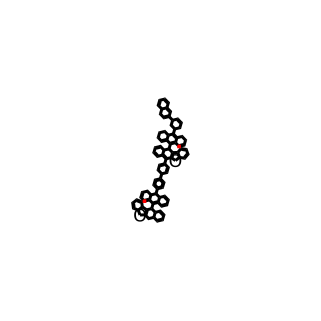 C1=CCC2C(=C1)C(C1C3=C(CC4C=CC=CC41)OC1C=CC=CC31)=C1C=CC=CC1C2c1ccc(C2C=CC(C3=C4C=CC=CC4C(C4=C5C=CCCC5=C(C5CC=CC(C6=CCC7C=CC=CC7=C6)C5)C5CCCC=C45)C4=C3OC3C=CC=CC43)=CC2)cc1